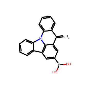 C=c1c2ccccc2n2c3ccccc3c3cc(B(O)O)cc1c32